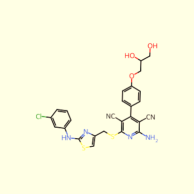 N#Cc1c(N)nc(SCc2csc(Nc3cccc(Cl)c3)n2)c(C#N)c1-c1ccc(OCC(O)CO)cc1